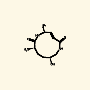 CC(C)[C@H]1/C=C/C(=O)NC[C@H](O)CC[C@H](N)C(=O)N1